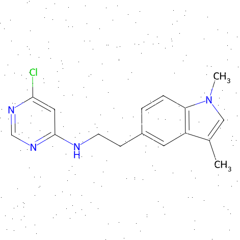 Cc1cn(C)c2ccc(CCNc3cc(Cl)ncn3)cc12